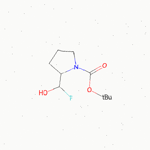 CC(C)(C)OC(=O)N1CCCC1C(O)F